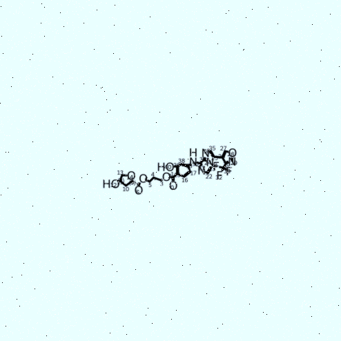 O=C(OCCCOC(=O)[C@@H]1C[C@@H](O)CO1)c1ccc(Nc2nccn3c(-c4conc4C(F)(F)F)cnc23)cc1O